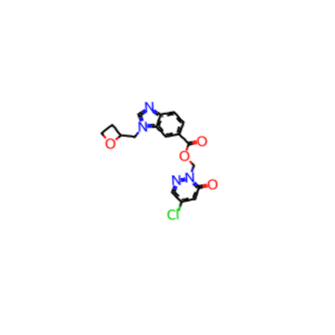 O=C(OCn1ncc(Cl)cc1=O)c1ccc2ncn(CC3CCO3)c2c1